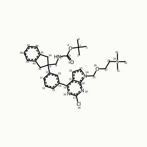 CC(C)(C)OC(=O)NCC1(c2cccc(-c3nc(Cl)nc4c3ccn4COCCS(C)(C)C)c2)Cc2ccccc2C1